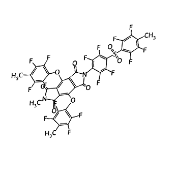 Cc1c(F)c(F)c(Oc2c3c(=O)n(C)c(=O)c3c(Oc3c(F)c(F)c(C)c(F)c3F)c3c(=O)n(-c4c(F)c(F)c(S(=O)(=O)c5c(F)c(F)c(C)c(F)c5F)c(F)c4F)c(=O)c23)c(F)c1F